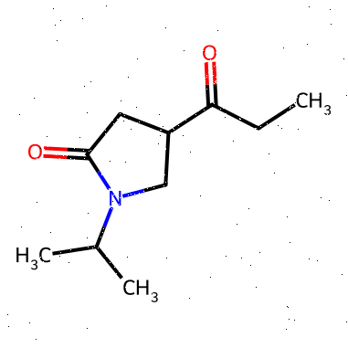 CCC(=O)C1CC(=O)N(C(C)C)C1